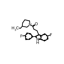 CCC1CCCN(C(=O)CCc2c(-c3ccc(F)cc3)[nH]c3ccc(F)cc23)C1